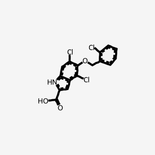 O=C(O)c1cc2c(Cl)c(OCc3ccccc3Cl)c(Cl)cc2[nH]1